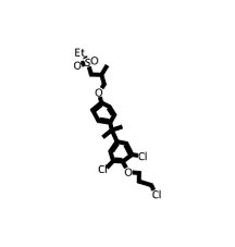 CCS(=O)(=O)CC(C)COc1ccc(C(C)(C)c2cc(Cl)c(OCCCCl)c(Cl)c2)cc1